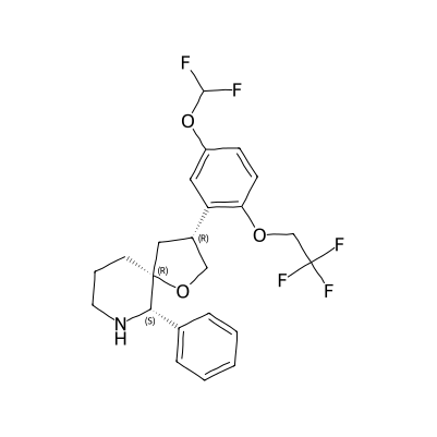 FC(F)Oc1ccc(OCC(F)(F)F)c([C@@H]2CO[C@]3(CCCN[C@H]3c3ccccc3)C2)c1